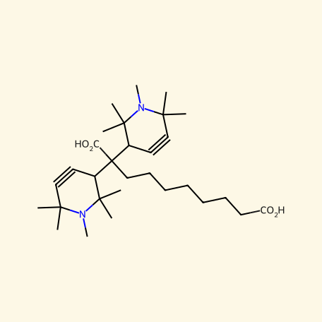 CN1C(C)(C)C#CC(C(CCCCCCCC(=O)O)(C(=O)O)C2C#CC(C)(C)N(C)C2(C)C)C1(C)C